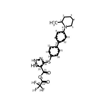 CC1CCCCN1c1ccc(-c2ccc(Sc3nn[nH]c3C(=O)OC(=O)C(F)(F)F)cc2)cc1